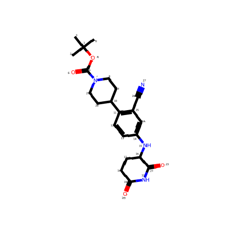 CC(C)(C)OC(=O)N1CCC(c2ccc(NC3CCC(=O)NC3=O)cc2C#N)CC1